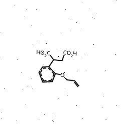 C=CCOc1ccccc1C(CC(=O)O)C(=O)O